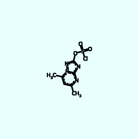 Cc1cc(C)n2nc(OS(=O)(=O)Cl)nc2n1